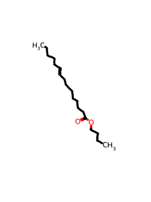 CCCCCC=CCCCCCCCC(=O)OCCCC